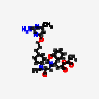 Cc1cc(OCCCc2ccc3c(c2)C(=O)N(C(CC(=O)OC(=O)C(F)(F)F)c2ccccc2)CC(=O)N3C(C)C)nc(N)n1